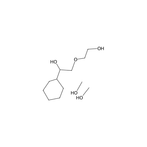 CO.CO.OCCOCC(O)C1CCCCC1